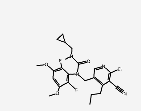 CCCc1c(CN(C(=O)N(C)CC2CC2)c2c(F)c(OC)cc(OC)c2F)cnc(Cl)c1C#N